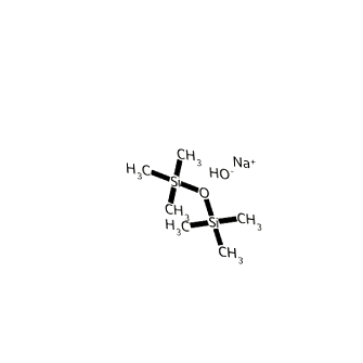 C[Si](C)(C)O[Si](C)(C)C.[Na+].[OH-]